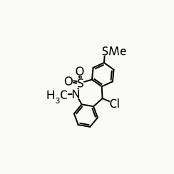 CSc1ccc2c(c1)S(=O)(=O)N(C)c1ccccc1C2Cl